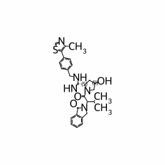 Cc1ncsc1-c1ccc(CNC(=N)[C@@H]2C[C@@H](O)CN2C(=O)C(C(C)C)N2Cc3ccccc3C2=O)cc1